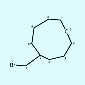 BrCC1CCCCCCCC1